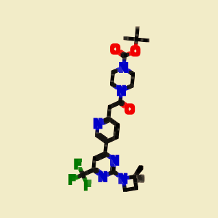 C[C@H]1CCN1c1nc(-c2ccc(CC(=O)N3CCN(C(=O)OC(C)(C)C)CC3)nc2)cc(C(F)(F)F)n1